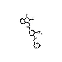 O=C1Nc2ccccc2/C1=C\Nc1ccc(NCc2ccccn2)c(C(F)(F)F)c1